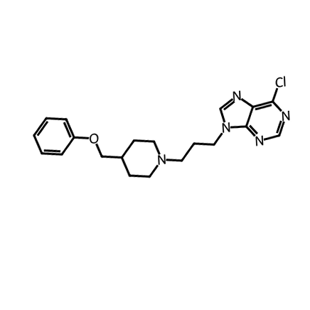 Clc1ncnc2c1ncn2CCCN1CCC(COc2ccccc2)CC1